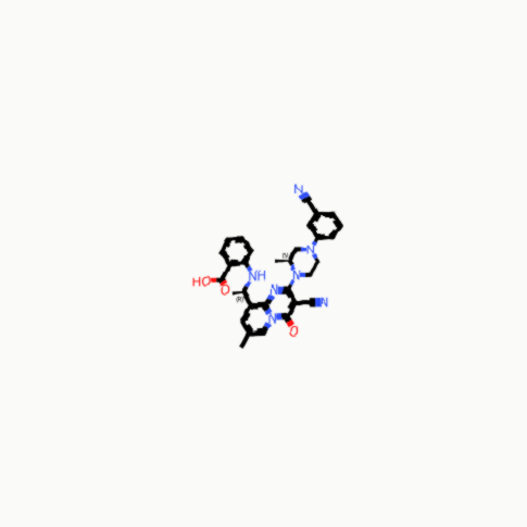 Cc1cc([C@@H](C)Nc2ccccc2C(=O)O)c2nc(N3CCN(c4cccc(C#N)c4)C[C@@H]3C)c(C#N)c(=O)n2c1